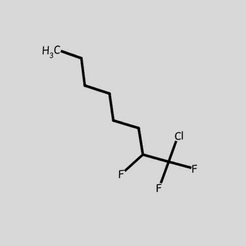 CCCCCCC(F)C(F)(F)Cl